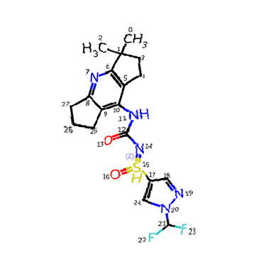 CC1(C)CCc2c1nc1c(c2NC(=O)/N=[SH](=O)/c2cnn(C(F)F)c2)CCC1